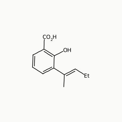 CCC=C(C)c1cccc(C(=O)O)c1O